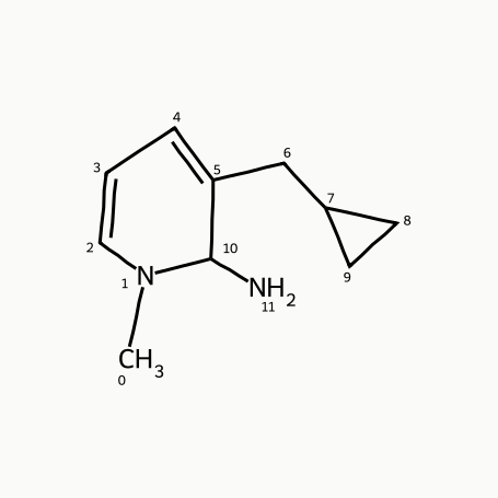 CN1C=CC=C(CC2CC2)C1N